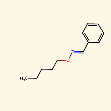 CCCCCON=Cc1c[c]ccc1